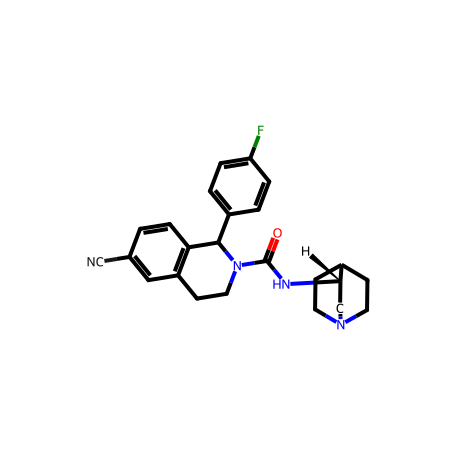 N#Cc1ccc2c(c1)CCN(C(=O)N[C@H]1CN3CCC1CC3)C2c1ccc(F)cc1